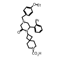 CCOc1ccc(CN2CC(=O)N(C3CC4(CCN(C(=O)O)CC4)C3)C(c3ccccc3C(C)C)C2)cc1